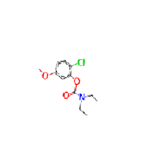 CCN(CC)C(=O)Oc1cc(OC)ccc1Cl